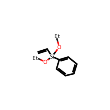 C=C[Si](OCC)(OCC)c1ccccc1